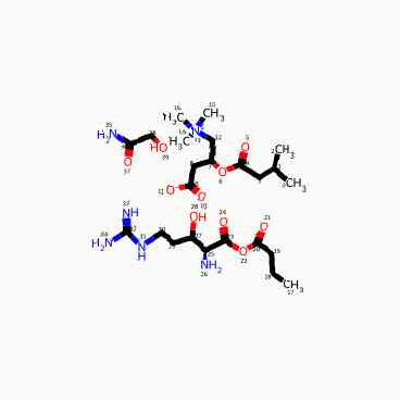 CC(C)CC(=O)OC(CC(=O)[O-])C[N+](C)(C)C.CCCC(=O)OC(=O)[C@@H](N)C(O)CCNC(=N)N.NC(=O)CO